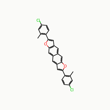 Cc1cc(Cl)ccc1-c1cc2cc3cc4oc(-c5ccc(Cl)cc5C)cc4cc3cc2o1